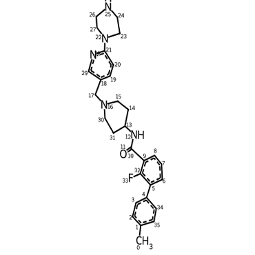 Cc1ccc(-c2cccc(C(=O)NC3CCN(Cc4ccc(N5CCNCC5)nc4)CC3)c2F)cc1